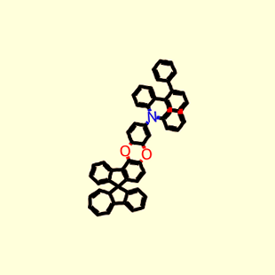 C1=CC=C2c3ccccc3C3(c4ccccc4-c4c3ccc3c4OC4C=CC(N(c5ccccc5)c5ccccc5-c5ccccc5-c5ccccc5)=CC4O3)C2C=C1